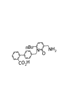 CCCCc1ccc(CN)c(=O)n1Cc1ccc(-c2ccccc2C(=O)O)cc1